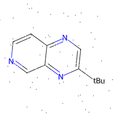 CC(C)(C)c1cnc2ccncc2n1